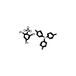 CC(C)c1cc(C(C)C)c(S(=O)(=O)[O-])c(C(C)C)c1.Cc1ccc([S+](c2ccc(C)cc2)c2ccc(C)cc2)cc1